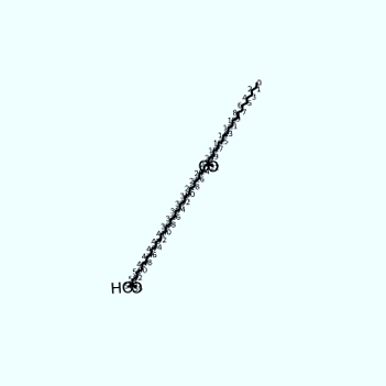 CCCCCCCCC=CCCCCCCCCCCCC(=O)OCCCCCCCCCCCCCCCCCCCCCCCCCCCCCCC(=O)O